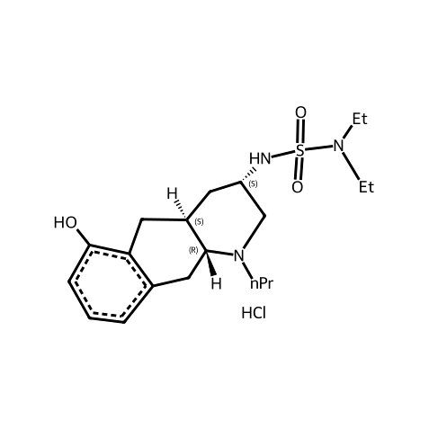 CCCN1C[C@@H](NS(=O)(=O)N(CC)CC)C[C@@H]2Cc3c(O)cccc3C[C@H]21.Cl